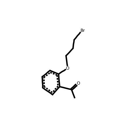 CC(=O)c1ccccc1OCCCBr